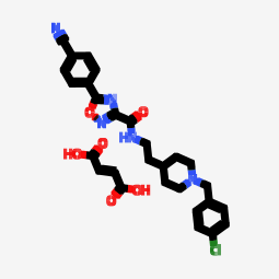 N#Cc1ccc(-c2nc(C(=O)NCCC3CCN(Cc4ccc(Cl)cc4)CC3)no2)cc1.O=C(O)C=CC(=O)O